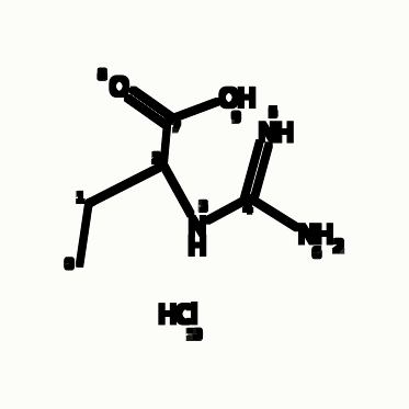 CCC(NC(=N)N)C(=O)O.Cl